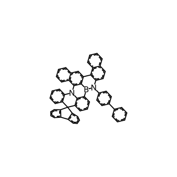 c1ccc(-c2ccc(N3B4c5cccc6c5N(c5ccccc5C65c6ccccc6-c6ccccc65)c5c4c(cc4ccccc54)-c4c3ccc3ccccc43)cc2)cc1